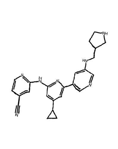 N#Cc1ccnc(Nc2cc(C3CC3)cc(-c3cncc(NCC4CCNC4)c3)n2)c1